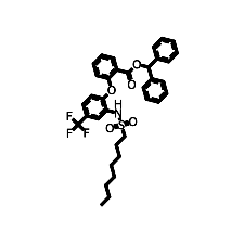 CCCCCCCCS(=O)(=O)Nc1cc(C(F)(F)F)ccc1Oc1ccccc1C(=O)OC(c1ccccc1)c1ccccc1